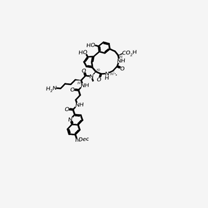 CCCCCCCCCCc1ccc2nc(C(=O)NCCC(=O)N[C@@H](CCCCN)C(=O)N(C)[C@@H]3C(=O)N[C@@H](C)C(=O)N[C@H](C(=O)O)Cc4ccc(O)c(c4)-c4cc3ccc4O)ccc2c1